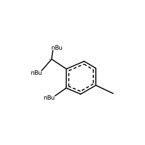 CCCC[C](CCCC)c1ccc(C)cc1CCCC